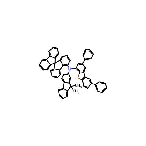 CC1(C)c2ccccc2-c2ccc(N(c3cccc4c3-c3ccccc3C43c4ccccc4-c4ccccc43)c3cc(-c4ccccc4)cc4c3sc3ccc(-c5ccccc5)cc34)cc21